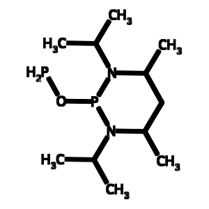 CC(C)N1C(C)CC(C)N(C(C)C)P1OP